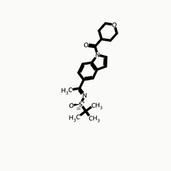 CC(=N[S@+]([O-])C(C)(C)C)c1ccc2c(ccn2C(=O)C2CCOCC2)c1